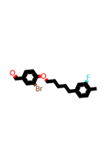 Cc1ccc(CCCCCOc2ccc(C=O)cc2Br)cc1F